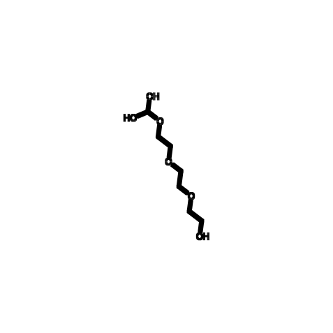 OCCOCCOCCOC(O)O